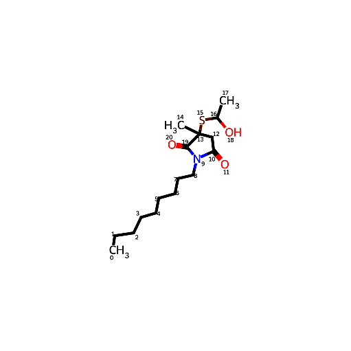 CCCCCCCCCN1C(=O)CC(C)(SC(C)O)C1=O